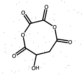 O=C1CC(O)C(=O)OC(=O)C(=O)O1